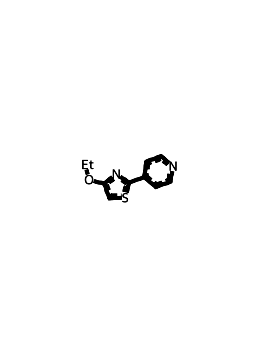 CCOc1csc(-c2ccncc2)n1